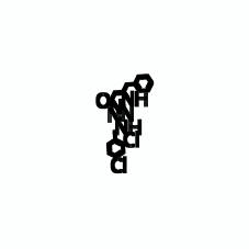 O=c1cc(Cc2ccccc2)[nH]c2nc(NCc3ccc(Cl)cc3Cl)nn12